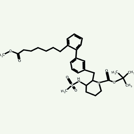 COC(=O)CCCCCCc1ccccc1-c1cccc(CC2C(NS(C)(=O)=O)CCCN2C(=O)OC(C)(C)C)c1